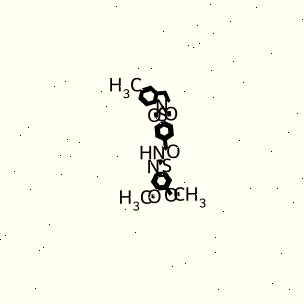 COc1cc2nc(NC(=O)c3ccc(S(=O)(=O)N4CCC5C=C(C)C=CC54)cc3)sc2cc1OC